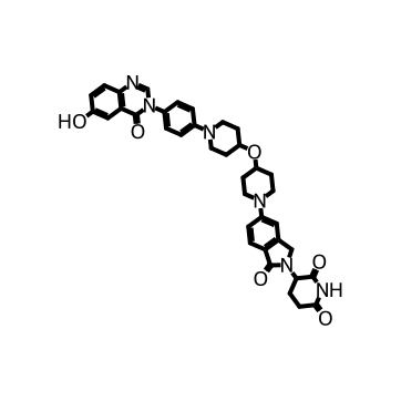 O=C1CCC(N2Cc3cc(N4CCC(OC5CCN(c6ccc(-n7cnc8ccc(O)cc8c7=O)cc6)CC5)CC4)ccc3C2=O)C(=O)N1